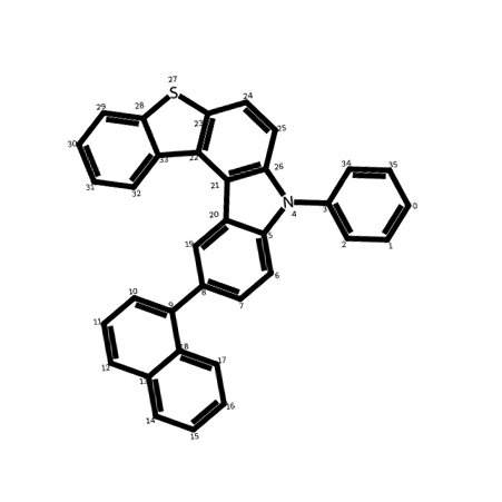 c1ccc(-n2c3ccc(-c4cccc5ccccc45)cc3c3c4c(ccc32)sc2ccccc24)cc1